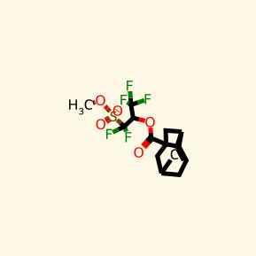 COS(=O)(=O)C(F)(F)C(OC(=O)C12CC3CC=C1C(C3)C2)C(F)(F)F